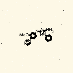 COc1cc(Nc2nc(N)n(-c3ccccc3)n2)ccc1-n1ccnc1